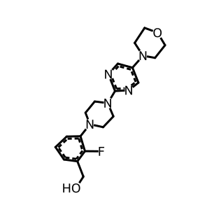 OCc1cccc(N2CCN(c3ncc(N4CCOCC4)cn3)CC2)c1F